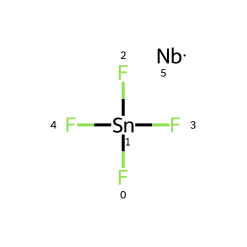 [F][Sn]([F])([F])[F].[Nb]